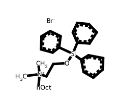 CCCCCCCC[N+](C)(C)CCO[Si](c1ccccc1)(c1ccccc1)c1ccccc1.[Br-]